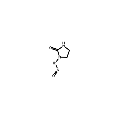 O=NBN1CCNC1=O